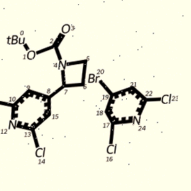 CC(C)(C)OC(=O)N1CCC1c1cc(Cl)nc(Cl)c1.Clc1cc(Br)cc(Cl)n1